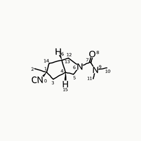 [C-]#[N+][C@]1(C)C[C@H]2CN(C(=O)N(C)C)C[C@H]2C1